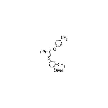 CCCC(COc1ccc(C(F)(F)F)cc1)CSc1ccc(OC)c(C)c1